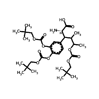 CC(OC(=O)OCC(C)(C)C)C(C)C(c1ccc(OC(=O)OCC(C)(C)C)c(OC(=O)OCC(C)(C)C)c1)[C@H](N)C(=O)O